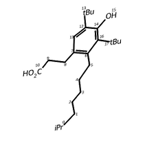 CC(C)CCCCCc1c(CCC(=O)O)cc(C(C)(C)C)c(O)c1C(C)(C)C